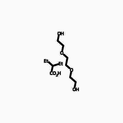 CCC(CC)C(=O)O.OCCOCCOCCO